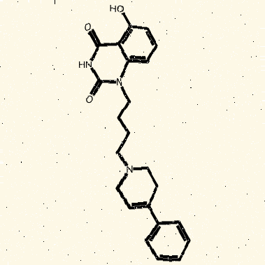 O=c1[nH]c(=O)n(CCCCN2CC=C(c3ccccc3)CC2)c2cccc(O)c12